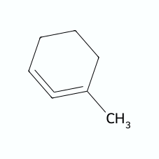 CC1=C=CCCC1